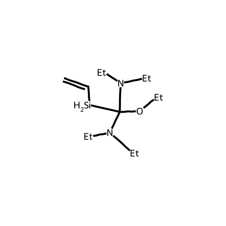 C=C[SiH2]C(OCC)(N(CC)CC)N(CC)CC